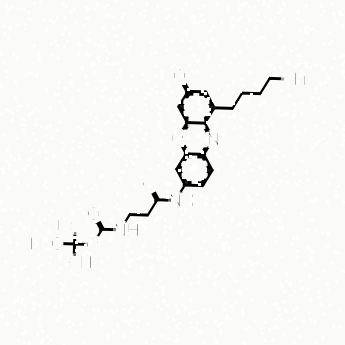 CCCCCc1cc(=O)cc2oc3cc(NC(=O)CCNC(=O)OC(C)(C)C)ccc3nc1-2